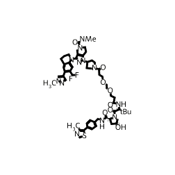 CNC(=O)N1CCc2c(c(N3CCCc4cc(-c5cnn(C)c5)c(C(F)F)cc43)nn2C2CCN(C(=O)CCOCCOCCC(=O)N[C@H](C(=O)N3C[C@H](O)C[C@H]3C(=O)NCc3ccc(-c4scnc4C)cc3)C(C)(C)C)CC2)C1